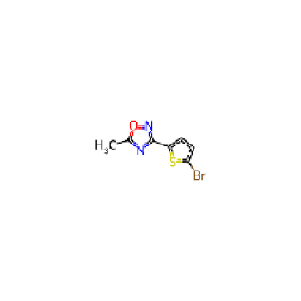 Cc1nc(-c2ccc(Br)s2)no1